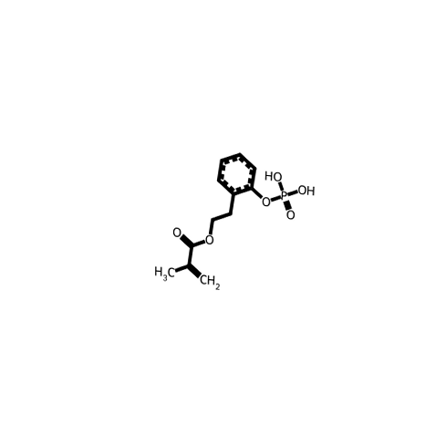 C=C(C)C(=O)OCCc1ccccc1OP(=O)(O)O